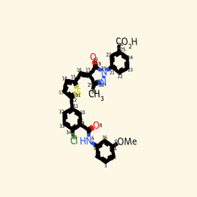 COc1cccc(NC(=O)c2cc(-c3ccc(C=C4C(=O)N(c5cccc(C(=O)O)c5)N=C4C)s3)ccc2Cl)c1